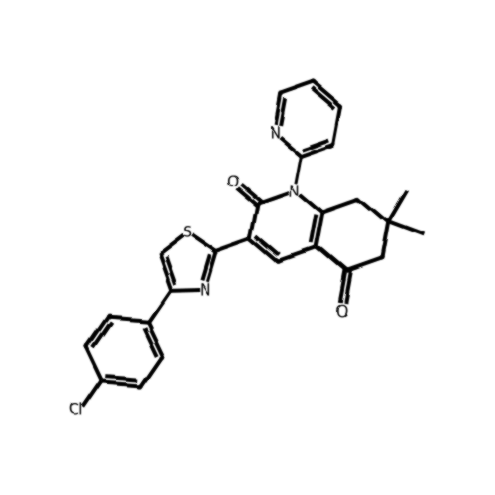 CC1(C)CC(=O)c2cc(-c3nc(-c4ccc(Cl)cc4)cs3)c(=O)n(-c3ccccn3)c2C1